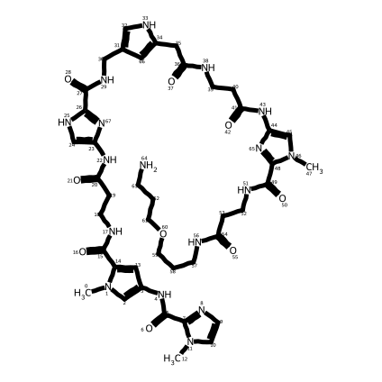 Cn1cc(NC(=O)c2nccn2C)cc1C(=O)NCCC(=O)Nc1c[nH]c(C(=O)NCc2c[nH]c(CC(=O)NCCC(=O)Nc3cn(C)c(C(=O)NCCC(=O)NCCCOCCCN)n3)c2)n1